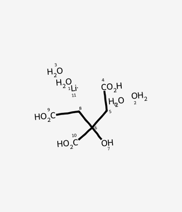 O.O.O.O.O=C(O)CC(O)(CC(=O)O)C(=O)O.[Li]